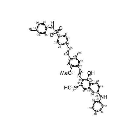 COc1cc(/N=N/c2ccc(S(=O)(=O)Nc3ccc(C)cc3)cc2)c(C)cc1/N=N/c1c(S(=O)(=O)O)cc2cc(Nc3ccccc3)ccc2c1O